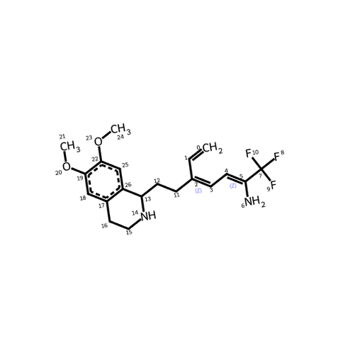 C=C/C(=C\C=C(/N)C(F)(F)F)CCC1NCCc2cc(OC)c(OC)cc21